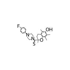 Cc1c(C)c2c(c(C)c1O)CCC(C)(C(=S)N1CCN(c3ccc(F)cc3)CC1)O2